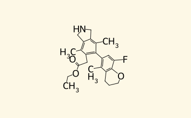 CCOC(=O)Cc1c(C)c2c(c(C)c1-c1cc(F)c3c(c1C)CCCO3)CNC2